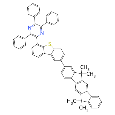 CC1(C)c2ccccc2-c2cc3c(cc21)-c1ccc(-c2ccc4sc5c(-c6nc(-c7ccccc7)c(-c7ccccc7)nc6-c6ccccc6)cccc5c4c2)cc1C3(C)C